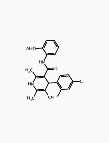 COc1ccccc1NC(=O)C1=C(C)NC(C)=C(C#N)C1c1ccc(Cl)cc1F